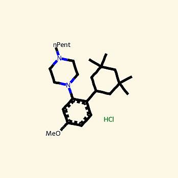 CCCCCN1CCN(c2cc(OC)ccc2C2CC(C)(C)CC(C)(C)C2)CC1.Cl